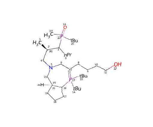 CCCC([C@H](C)CN1CC(CCCCO)=P(C(C)(C)C)(C(C)(C)C)C2CCC[C@H]2C1)P(C)(=O)C(C)(C)C